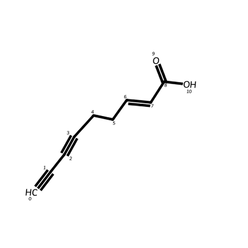 C#CC#CCC/C=C/C(=O)O